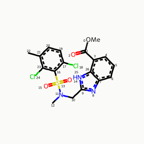 COC(=O)c1cccc2nc(CN(C)S(=O)(=O)c3c(Cl)ccc(C)c3Cl)[nH]c12